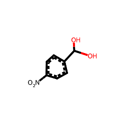 O=[N+]([O-])c1ccc(C(O)O)cc1